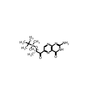 C[C@H](O[Si](C)(C)C(C)(C)C)C(=O)c1cnc2nc(N)[nH]c(=O)c2n1